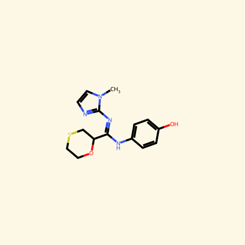 Cn1ccnc1N=C(Nc1ccc(O)cc1)C1CSCCO1